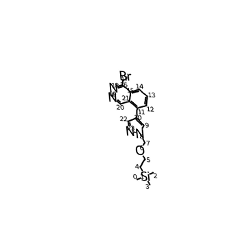 C[Si](C)(C)CCOCn1cc(-c2cccc3c(Br)nncc23)cn1